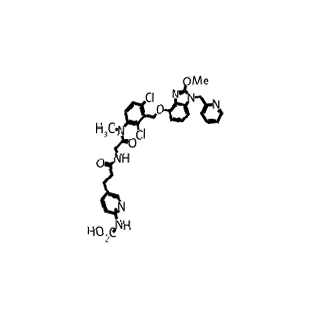 COc1nc2c(OCc3c(Cl)ccc(N(C)C(=O)CNC(=O)CCc4ccc(NC(=O)O)nc4)c3Cl)cccc2n1Cc1ccccn1